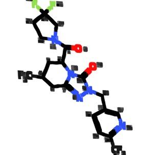 O=C(C1CC(C(F)(F)F)Cc2nn(Cc3ccc(C(F)(F)F)nc3)c(=O)n21)N1CCC(F)(F)C1